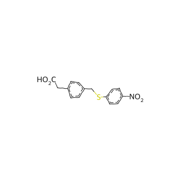 O=C(O)Cc1ccc(CSc2ccc([N+](=O)[O-])cc2)cc1